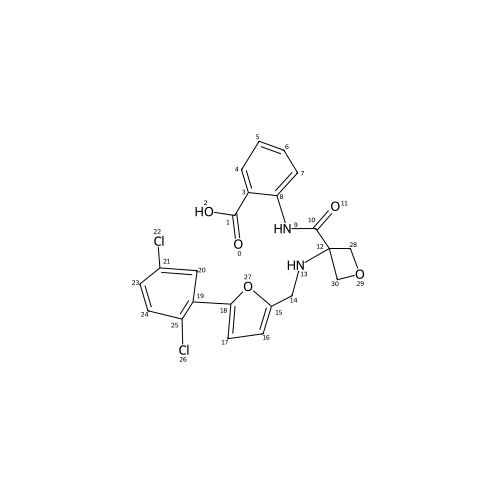 O=C(O)c1ccccc1NC(=O)C1(NCc2ccc(-c3cc(Cl)ccc3Cl)o2)COC1